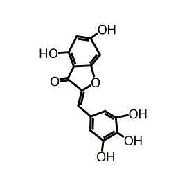 O=C1/C(=C/c2cc(O)c(O)c(O)c2)Oc2cc(O)cc(O)c21